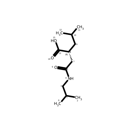 CC(C)CNC(=O)C[C@@H](CC(C)C)C(=O)O